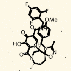 COc1ccc(CN2C(C)=NO[C@@]23CC[C@H](C)N2C[C@H]3n3cc(C(=O)NCc4c(F)cc(F)cc4F)c(=O)c(O)c3C2=O)cc1